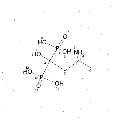 CC(N)CC(O)(P(=O)(O)O)P(=O)(O)O